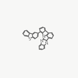 c1ccc2nc3c(nc2c1)c1cccc2c4cccc(-c5ccc6sc7ccccc7c6c5)c4n3c21